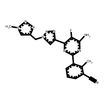 Cc1c(C#N)cccc1-c1nc(N)c(F)c(-c2cn(Cc3cn(C)nn3)nn2)n1